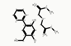 C=C(COCC(=C)OC)OC.OCc1cc(-c2ncccn2)c(Cl)cc1Cl